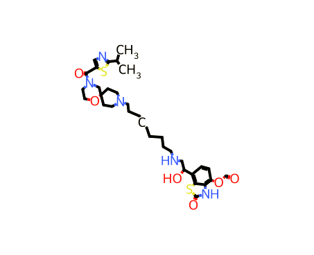 CC(C)c1ncc(C(=O)N2CCOC3(CCN(CCCCCCCCCNCC(O)c4ccc(OC=O)c5[nH]c(=O)sc45)CC3)C2)s1